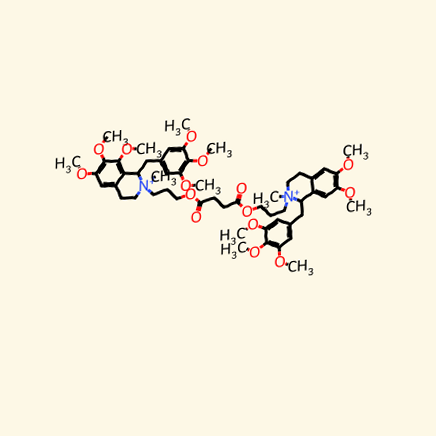 COc1cc2c(cc1OC)C(Cc1cc(OC)c(OC)c(OC)c1)[N+](C)(CCCOC(=O)CCC(=O)OCCC[N+]1(C)CCc3cc(OC)c(OC)c(OC)c3C1Cc1cc(OC)c(OC)c(OC)c1)CC2